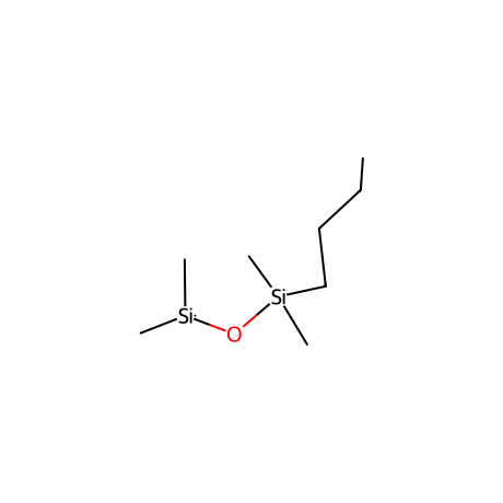 CCCC[Si](C)(C)O[Si](C)C